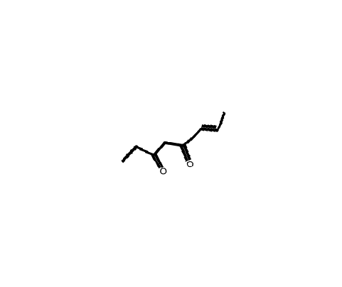 CC=CC(=O)CC(=O)CC